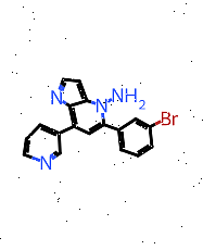 Nn1c(-c2cccc(Br)c2)cc(-c2cccnc2)c2nccc1-2